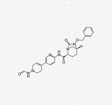 O=CBN1CC=C(c2ccc(NC(=O)[C@@H]3CC[C@@H]4CN3C(=O)N4OCc3ccccc3)nc2)CC1